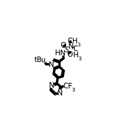 CN(C)S(=O)(=O)NCc1cn(CC(C)(C)C)c2cc(-c3nccnc3C(F)(F)F)ccc12